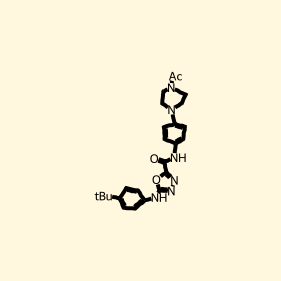 CC(=O)N1CCN(c2ccc(NC(=O)c3nnc(Nc4ccc(C(C)(C)C)cc4)o3)cc2)CC1